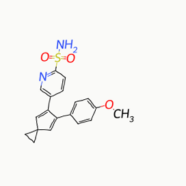 COc1ccc(C2=CC3(C=C2c2ccc(S(N)(=O)=O)nc2)CC3)cc1